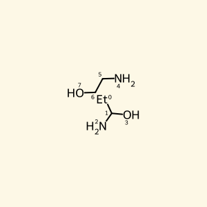 CCC(N)O.NCCO